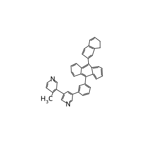 Cc1ccncc1-c1cncc(-c2cccc(-c3c4ccccc4c(-c4ccc5c(c4)CCC=C5)c4ccccc34)c2)c1